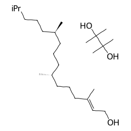 C/C(=C\CO)CCC[C@H](C)CCC[C@H](C)CCCC(C)C.CC(C)(O)C(C)(C)O